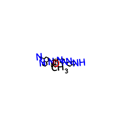 C[C@@H]1CN(c2ccc(C#N)c3ncccc23)C[C@H](CN2CCN(c3ccc4c(n3)CNC4)CC2)O1